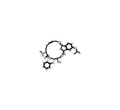 CN[C@H]1CCC=CCO[C@@H]2C[C@H](NC[C@@H](O)[C@H](Cc3ccccc3)NC1=O)c1cc(OC(C)C)ccc12